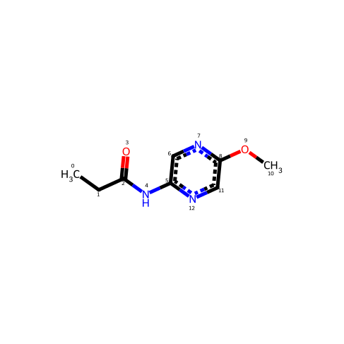 CCC(=O)Nc1cnc(OC)cn1